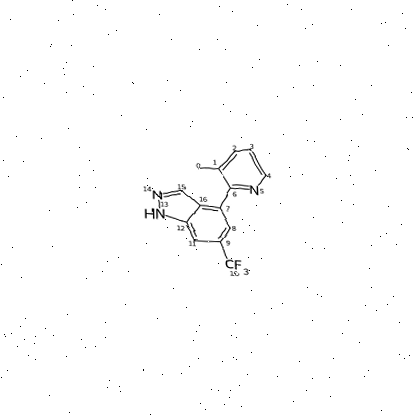 Cc1cccnc1-c1cc(C(F)(F)F)cc2[nH]ncc12